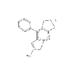 CC1=Cc2c(cc3c(c2-c2ccccc2)CCC3)C1.[Li]